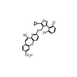 N#CC1=Cc2ccc(C(=O)O)cc2Oc2ccc(OCc3c(-c4c(Cl)cccc4Cl)noc3C3CC3)nc21